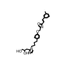 Cc1cccc(/C=C/c2nc(COc3ccc(CCCCn4ccnc4CC(O)CO)cc3)co2)c1